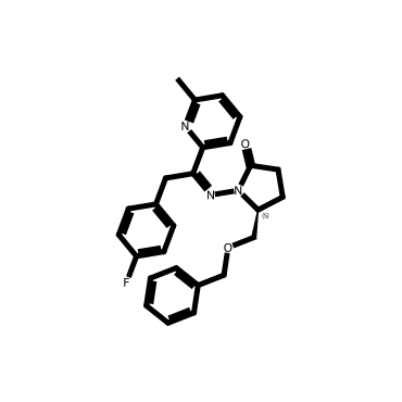 Cc1cccc(C(Cc2ccc(F)cc2)=NN2C(=O)CC[C@H]2COCc2ccccc2)n1